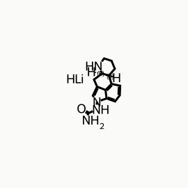 NC(=O)Nn1cc2c3c(cccc31)[C@H]1CCCN[C@@H]1C2.[LiH]